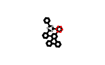 c1ccc(-c2cc(-c3ccccc3-c3nc(-c4ccccc4)nc(-c4ccccc4)n3)c3c4ccccc4c4ccccc4c3c2)cc1